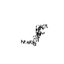 COC(=O)C1=Cc2ccc(-c3cc4nc(C(=O)N5CCc6sccc6C5C)cc(C5(C)CC5)n4n3)c(F)c2OC1